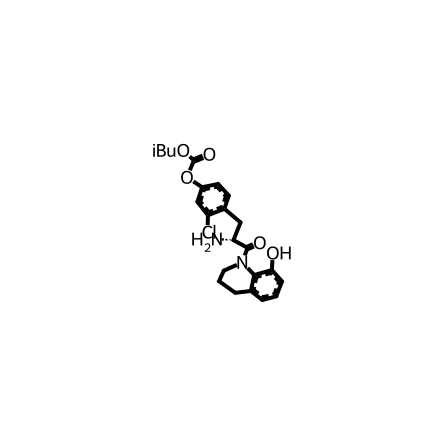 CC(C)COC(=O)Oc1ccc(C[C@@H](N)C(=O)N2CCCc3cccc(O)c32)c(Cl)c1